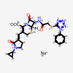 O=C(CSc1nnnn1-c1ccccc1)N[C@@H]1C(=O)N2C(C(=O)[O-])=C(/C=C3\CCN(C4CC4)C3=O)CS[C@H]12.[Na+]